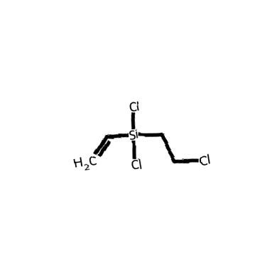 C=C[Si](Cl)(Cl)CCCl